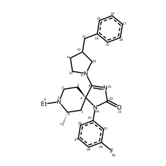 CCN1CC[C@@]2(C[C@@H]1C)C(N1CCC(Cc3ccccc3)C1)=NC(=O)N2c1cccc(F)c1